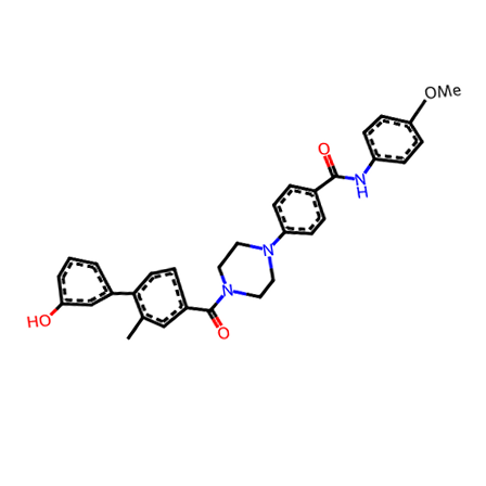 COc1ccc(NC(=O)c2ccc(N3CCN(C(=O)c4ccc(-c5cccc(O)c5)c(C)c4)CC3)cc2)cc1